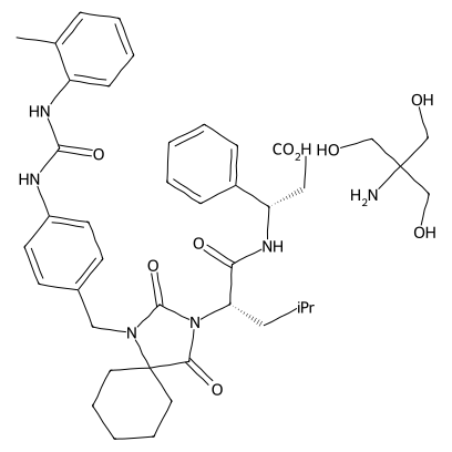 Cc1ccccc1NC(=O)Nc1ccc(CN2C(=O)N([C@@H](CC(C)C)C(=O)N[C@@H](CC(=O)O)c3ccccc3)C(=O)C23CCCCC3)cc1.NC(CO)(CO)CO